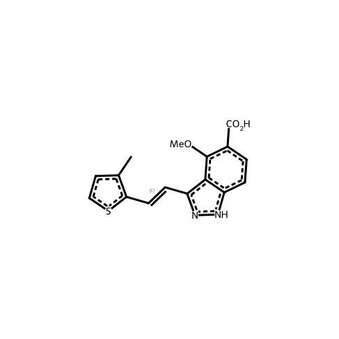 COc1c(C(=O)O)ccc2[nH]nc(/C=C/c3sccc3C)c12